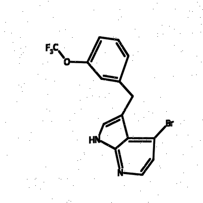 FC(F)(F)Oc1cccc(Cc2c[nH]c3nccc(Br)c23)c1